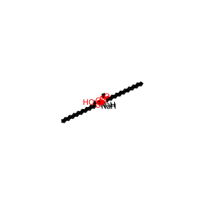 CCCCCCCCCCCCCCCCC(COCC(=O)OC(CO)CCCCCCCCCCCCCCCC)OC(C)=O.[NaH].[NaH]